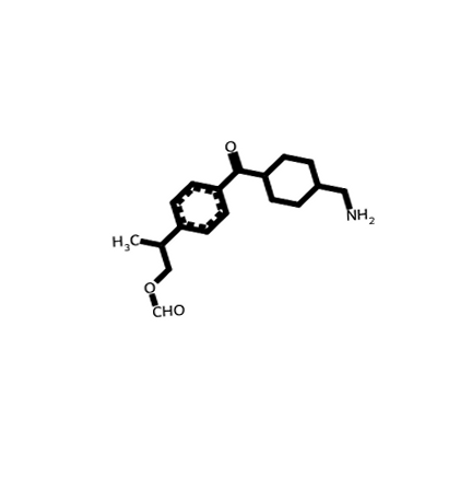 CC(COC=O)c1ccc(C(=O)C2CCC(CN)CC2)cc1